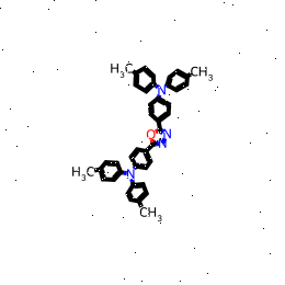 Cc1ccc(N(c2ccc(C)cc2)c2ccc(-c3nnc(-c4ccc(N(c5ccc(C)cc5)c5ccc(C)cc5)cc4)o3)cc2)cc1